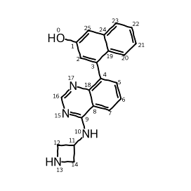 Oc1cc(-c2cccc3c(NC4CNC4)ncnc23)c2ccccc2c1